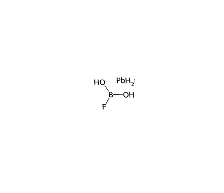 OB(O)F.[PbH2]